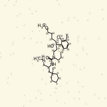 CNCC(CC1(F)CCCCC1)NC(=O)N1CCC[C@@H]([C@@](O)(CCCCOC)c2cccc(F)c2Cl)C1